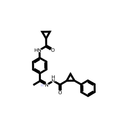 C/C(=N/NC(=O)C1CC1c1ccccc1)c1ccc(NC(=O)C2CC2)cc1